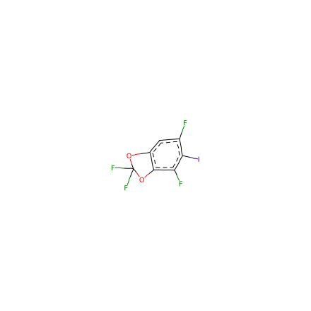 Fc1cc2c(c(F)c1I)OC(F)(F)O2